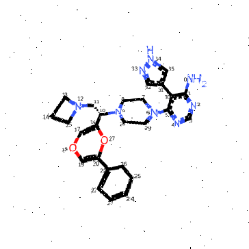 Nc1ncnc(N2CCN([C@@H](CN3CCC3)C3=COC=C(C4=CC=CCC4)O3)CC2)c1-c1cn[nH]c1